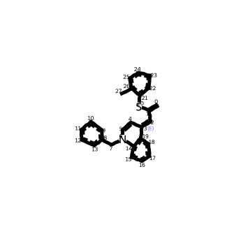 C=C(/C=C1\C=CN(Cc2ccccc2)c2ccccc21)Sc1ccccc1C